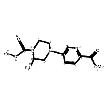 COC(=O)c1ccc(N2CCN(C(=O)OC(C)(C)C)C(C(F)(F)F)C2)cn1